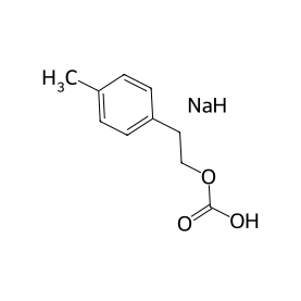 Cc1ccc(CCOC(=O)O)cc1.[NaH]